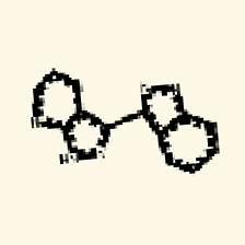 c1ccc2c(-c3n[nH]c4ncccc34)n[nH]c2c1